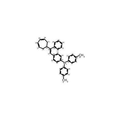 Cc1ccc(N(c2ccc(C)cc2)c2ccc(/C=C(\c3ccccc3)C3CC=CC=CC3)cc2)cc1